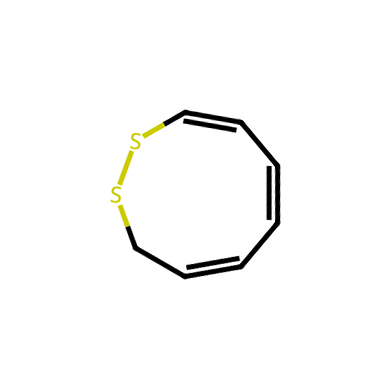 C1=CC=CSSCC=C1